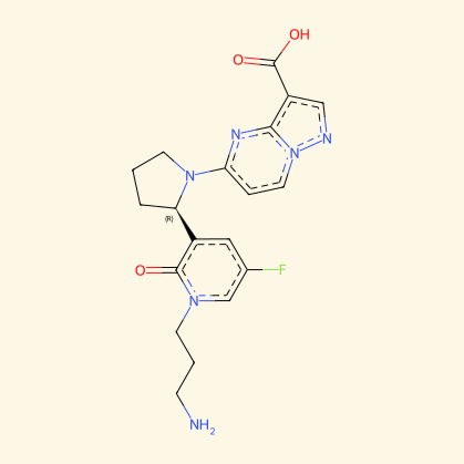 NCCCn1cc(F)cc([C@H]2CCCN2c2ccn3ncc(C(=O)O)c3n2)c1=O